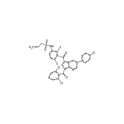 C=CCS(=O)(=O)Nc1ccc(F)c(C(=O)c2cn(C(=O)c3c(Cl)cccc3Cl)c3ncc(-c4ccc(Cl)cc4)cc23)c1F